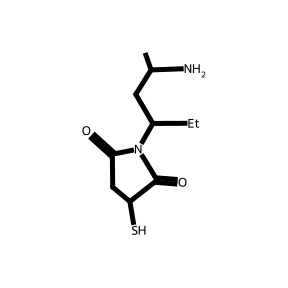 CCC(CC(C)N)N1C(=O)CC(S)C1=O